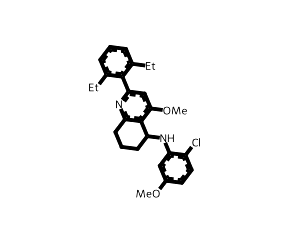 CCc1cccc(CC)c1-c1cc(OC)c2c(n1)CCCC2Nc1cc(OC)ccc1Cl